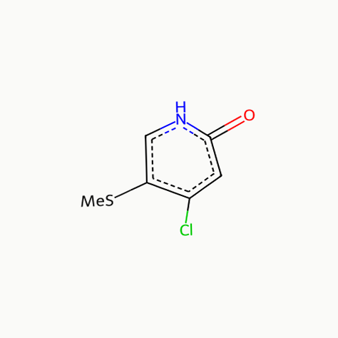 CSc1c[nH]c(=O)cc1Cl